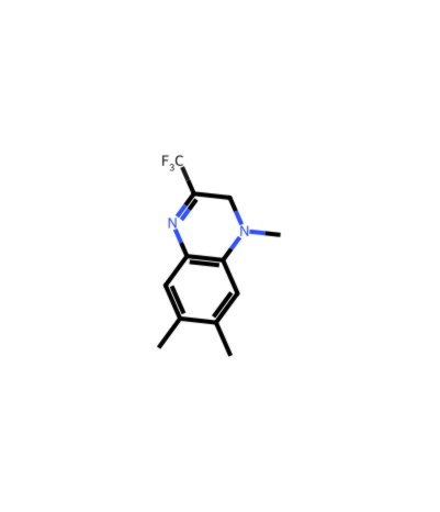 Cc1cc2c(cc1C)N(C)CC(C(F)(F)F)=N2